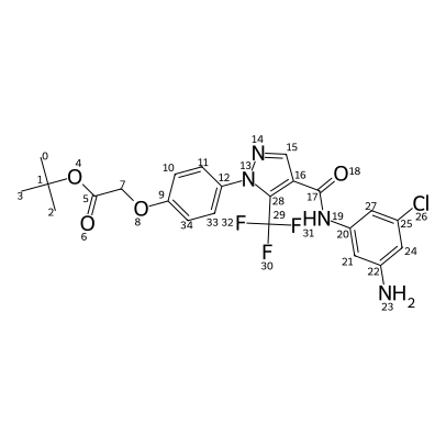 CC(C)(C)OC(=O)COc1ccc(-n2ncc(C(=O)Nc3cc(N)cc(Cl)c3)c2C(F)(F)F)cc1